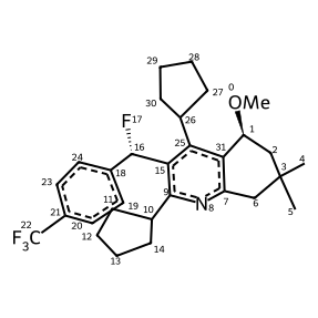 CO[C@H]1CC(C)(C)Cc2nc(C3CCCC3)c([C@@H](F)c3ccc(C(F)(F)F)cc3)c(C3CCCC3)c21